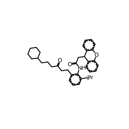 CC(C)c1cccc(CCC(=O)CCCC2CCCCC2)c1NC(=O)CC1c2ccccc2Oc2ccccc21